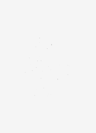 CCC(COC(=O)CC(O)(CC(=O)OCC(CC)CC(C)C)C(=O)OCC(CC)CC(C)C)CC(C)C